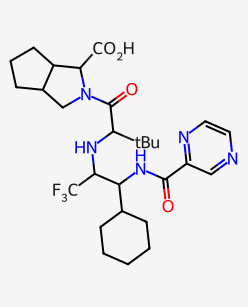 CC(C)(C)C(NC(C(NC(=O)c1cnccn1)C1CCCCC1)C(F)(F)F)C(=O)N1CC2CCCC2C1C(=O)O